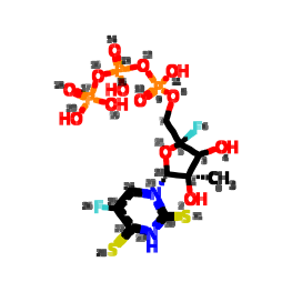 C[C@@]1(O)C(O)[C@@](F)(COP(=O)(O)OP(=O)(O)OP(=O)(O)O)O[C@H]1n1cc(F)c(=S)[nH]c1=S